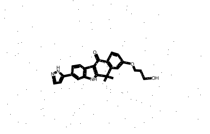 CC1(C)c2cc(OCCCO)ccc2C(=O)c2c1[nH]c1cc(-c3ccn[nH]3)ccc21